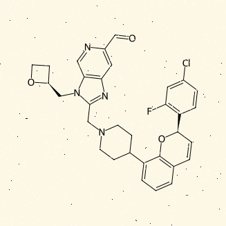 O=Cc1cc2nc(CN3CCC(c4cccc5c4O[C@@H](c4ccc(Cl)cc4F)C=C5)CC3)n(C[C@@H]3CCO3)c2cn1